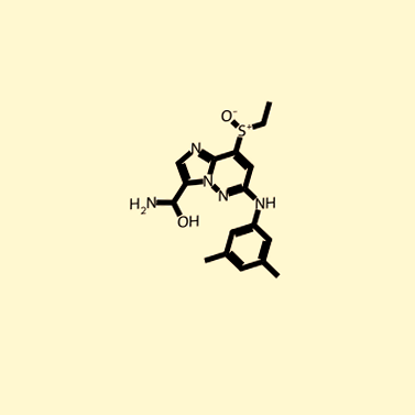 CC[S+]([O-])c1cc(Nc2cc(C)cc(C)c2)nn2c(C(N)O)cnc12